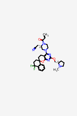 C=CC(=O)N1CCN(c2nc(OC[C@@H]3CCCN3C)nc3c2CCC2(CCC(F)(F)c4ccccc42)O3)C[C@@H]1CC#N